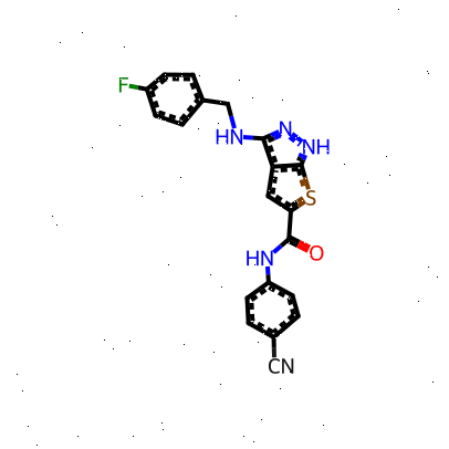 N#Cc1ccc(NC(=O)c2cc3c(NCc4ccc(F)cc4)n[nH]c3s2)cc1